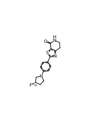 O=C1NCCc2nc(-c3ccc(N4CC[C@@H](F)C4)cc3)sc21